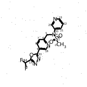 CS(=O)(=O)N(Cc1ccc(-c2nnc(C(F)F)o2)cn1)c1cccnc1